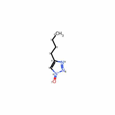 CCCCC1=C[N+](=O)N=N1